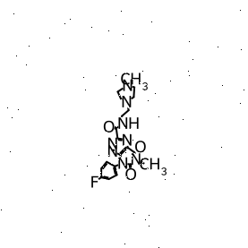 CN1CCN(CCNC(=O)c2nnc3c(n2)c(=O)n(C)c(=O)n3-c2ccc(F)cc2)CC1